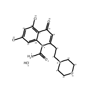 Cl.NC(=O)n1c(CCN2CCOCC2)cc(=O)c2c(Cl)cc(Cl)cc21